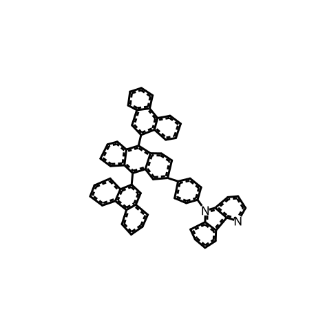 c1ccc2c(c1)cc(-c1c3ccccc3c(-c3cc4ccccc4c4ccccc34)c3cc(-c4ccc(-n5c6ccccc6c6ncccc65)cc4)ccc13)c1ccccc12